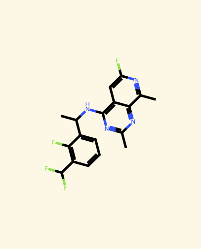 Cc1nc(NC(C)c2cccc(C(F)F)c2F)c2cc(F)nc(C)c2n1